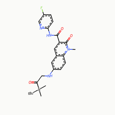 Cn1c(=O)c(C(=O)Nc2ccc(F)cn2)cc2cc(NCC(=O)[Si](C)(C)C(C)(C)C)ccc21